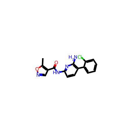 Cc1oncc1C(=O)Nc1ccc(-c2ccccc2Cl)c(N)n1